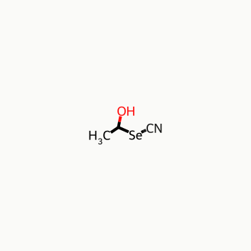 CC(O)[Se]C#N